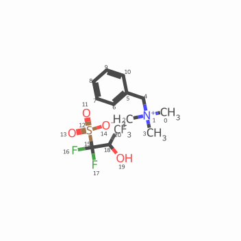 C[N+](C)(C)Cc1ccccc1.O=S(=O)([O-])C(F)(F)C(O)C(F)(F)F